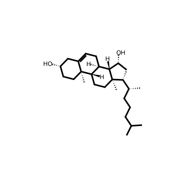 CC(C)CCC[C@@H](C)[C@H]1C[C@@H](O)[C@H]2[C@@H]3CC=C4C[C@@H](O)CC[C@]4(C)[C@H]3CC[C@@]21C